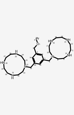 CC(C)OCc1cc(CN2CCNCCNCCNCC2)cc(CN2CCNCCNCCNCC2)c1